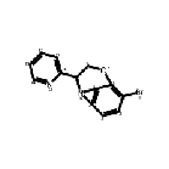 Brc1ccc2c3c1OCC(c1ccccn1)N23